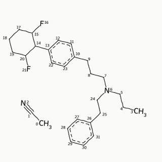 CC#N.CCCN(CCCc1ccc(C2C(F)CCCC2F)cc1)CCc1ccccc1